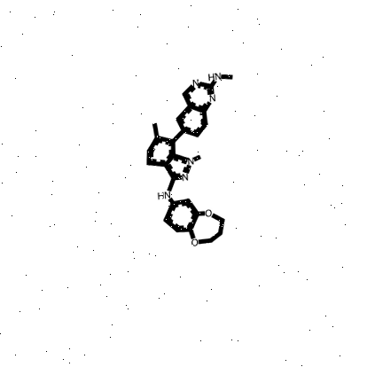 CNc1ncc2cc(-c3c(C)ccc4c(Nc5ccc6c(c5)OCCCO6)nn(C)c34)ccc2n1